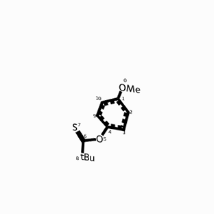 COc1ccc(OC(=S)C(C)(C)C)cc1